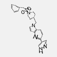 O=S(=O)(Cc1ccccc1)N1CCC(Cn2ccc3nc(-c4cn[nH]c4)ccc32)CC1